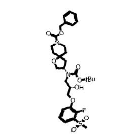 CC(C)(C)OC(=O)N(C[C@H](O)COc1cccc(S(C)(=O)=O)c1F)[C@@H]1COC2(CCN(C(=O)OCc3ccccc3)CC2)C1